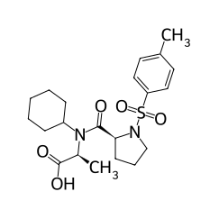 Cc1ccc(S(=O)(=O)N2CCC[C@H]2C(=O)N(C2CCCCC2)[C@@H](C)C(=O)O)cc1